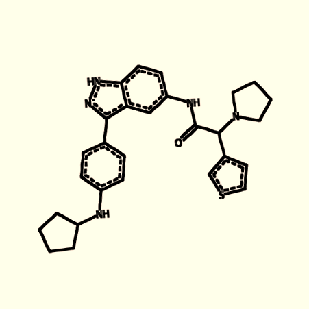 O=C(Nc1ccc2[nH]nc(-c3ccc(NC4CCCC4)cc3)c2c1)C(c1ccsc1)N1CCCC1